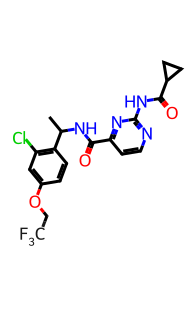 CC(NC(=O)c1ccnc(NC(=O)C2CC2)n1)c1ccc(OCC(F)(F)F)cc1Cl